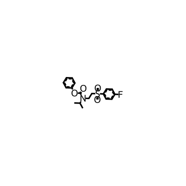 CC(C)N(CCS(=O)(=O)c1ccc(F)cc1)C(=O)Oc1ccccc1